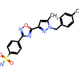 Cc1ccc(Cn2nc(-c3nc(-c4ccc(S(N)(=O)=O)cc4)no3)cc2C)cc1